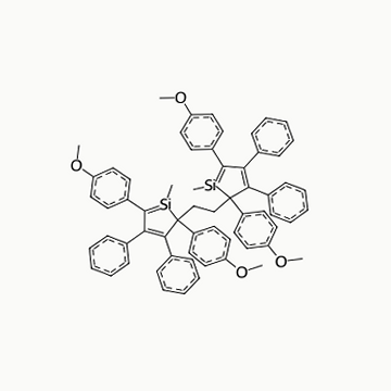 COc1ccc(C2=[Si](C)C(CCC3(c4ccc(OC)cc4)C(c4ccccc4)=C(c4ccccc4)C(c4ccc(OC)cc4)=[Si]3C)(c3ccc(OC)cc3)C(c3ccccc3)=C2c2ccccc2)cc1